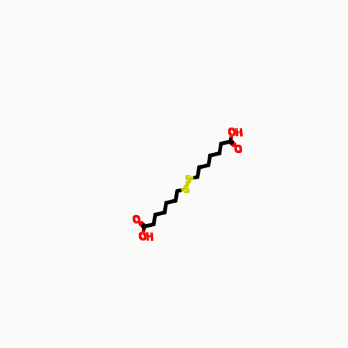 O=C(O)CCCCCCSSCCCCCCC(=O)O